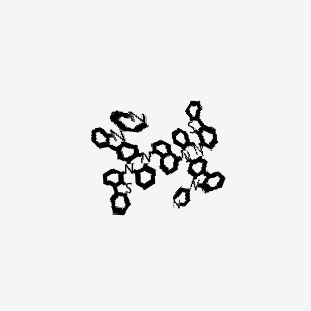 c1ccc2c(c1)N(c1cccc3c(N4c5ccccc5N(c5cccc6c5sc5ccccc56)c5cc6c7ccccc7n(-c7ccncc7)c6cc54)cccc13)c1cc3c(cc1N2c1cccc2c1sc1ccccc12)c1ccccc1n3-c1ccncc1